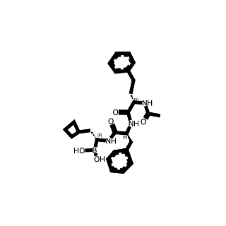 CC(=O)N[C@@H](CCc1ccccc1)C(=O)N[C@@H](Cc1ccccc1)C(=O)N[C@@H](CC1CCC1)B(O)O